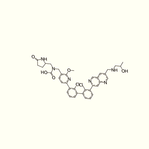 COc1nc(-c2cccc(-c3cccc(-c4cc5ncc(CNCC(C)O)cc5cn4)c3Cl)c2Cl)ccc1CN(CC1CCC(=O)N1)C(=O)O